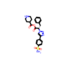 NS(=O)(=O)c1ccc(-c2cn([C@@H](Cc3ccccc3)C(=O)OC(=O)C3CCNCC3)nn2)cc1